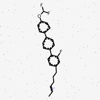 C/C=C/CCCc1ccc(-c2ccc(-c3ccc(OC(F)F)cc3)cc2)c(F)c1